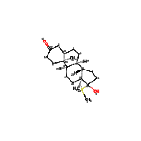 CSC1(O)CC[C@H]2[C@@H]3CCC4CC(=O)CC[C@]4(C)[C@@H]3CC[C@@]21C